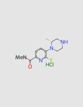 CNC(=O)c1ccc(N2CCNC[C@H]2C)c(F)n1.Cl